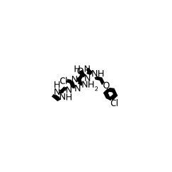 N/C(=N\C(=O)c1nc(Cl)c(NCc2ncc[nH]2)nc1N)NCCCOc1ccc(Cl)cc1